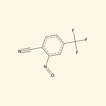 N#Cc1ccc(C(F)(F)F)cc1N=O